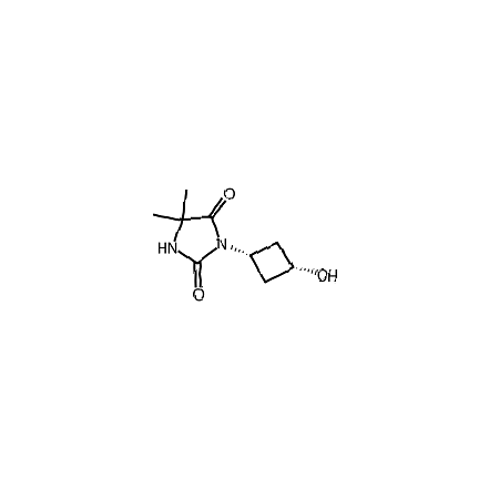 CC1(C)NC(=O)N([C@H]2C[C@@H](O)C2)C1=O